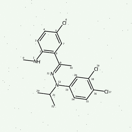 CNc1ccc(Cl)cc1/C(C)=N/N(c1ccc(Cl)c(Cl)c1)C(C)C